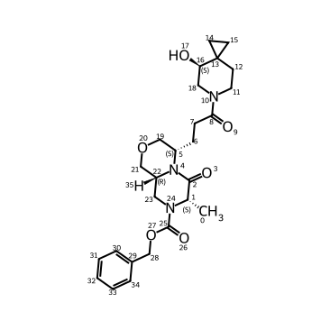 C[C@H]1C(=O)N2[C@@H](CCC(=O)N3CCC4(CC4)[C@H](O)C3)COC[C@H]2CN1C(=O)OCc1ccccc1